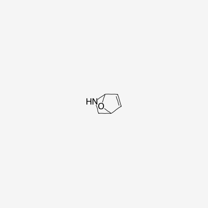 C1=CC2NCC1O2